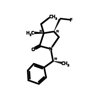 CC[C@@]1(C)C(=O)N([C@H](C)c2ccccc2)C[C@H]1CF